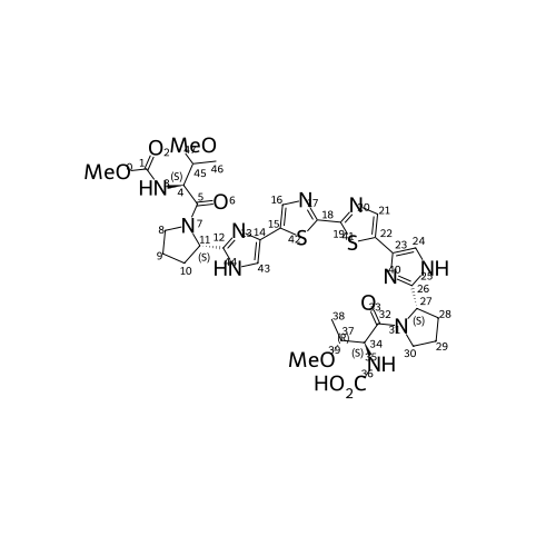 COC(=O)N[C@H](C(=O)N1CCC[C@H]1c1nc(-c2cnc(-c3ncc(-c4c[nH]c([C@@H]5CCCN5C(=O)[C@@H](NC(=O)O)[C@@H](C)OC)n4)s3)s2)c[nH]1)C(C)OC